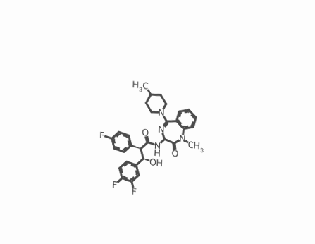 CC1CCN(C2=NC(NC(=O)[C@H](c3ccc(F)cc3)[C@@H](O)c3ccc(F)c(F)c3)C(=O)N(C)c3ccccc32)CC1